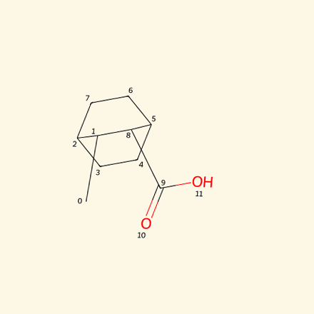 CC1C2CCC(CC2)C1C(=O)O